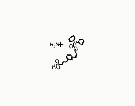 CC(C)(C)N.O=C(O)CCCc1cccc(/C=C\COC(=O)N(c2ccccc2)c2ccccc2)c1